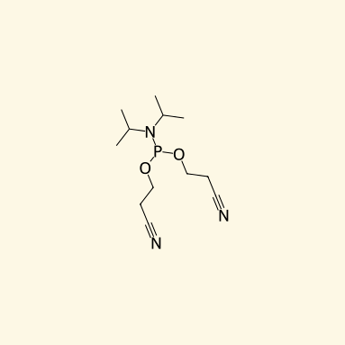 CC(C)N(C(C)C)P(OCCC#N)OCCC#N